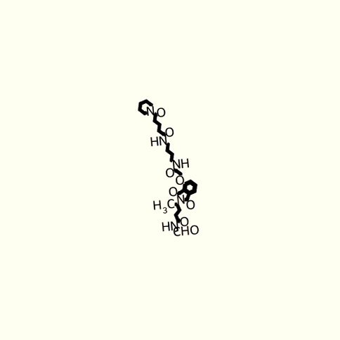 CC(CCC(=O)NC=O)N1C(=O)c2cccc(OCC(=O)NCCCCNC(=O)CCCC(=O)N3CCCCC3)c2C1=O